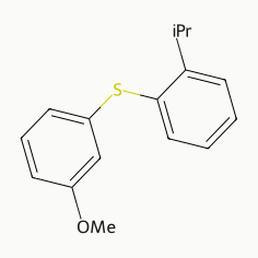 COc1cccc(Sc2ccccc2C(C)C)c1